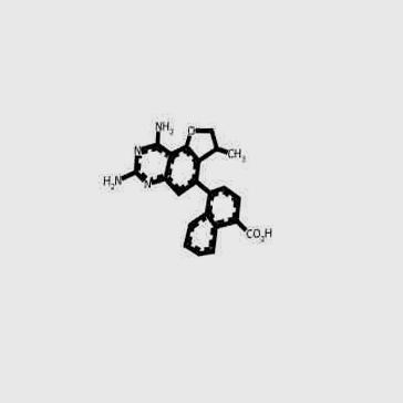 CC1COc2c1c(-c1ccc(C(=O)O)c3ccccc13)cc1nc(N)nc(N)c21